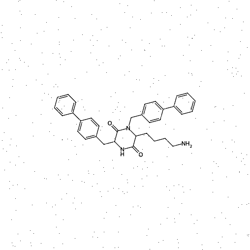 NCCCCC1C(=O)NC(Cc2ccc(-c3ccccc3)cc2)C(=O)N1Cc1ccc(-c2ccccc2)cc1